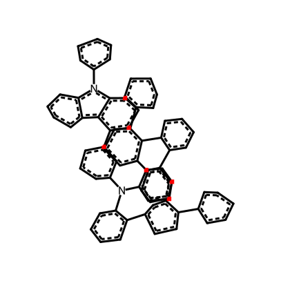 c1ccc(-c2ccc(-c3ccccc3N(c3cccc(-c4cccc5c4c4ccccc4n5-c4ccccc4)c3)c3ccccc3-c3cccc(-c4ccccc4)c3-c3ccccc3-c3ccccc3)cc2)cc1